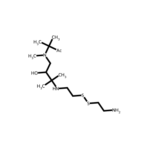 CC(=O)C(C)(C)N(C)CC(O)C(C)(C)NCCSSCCN